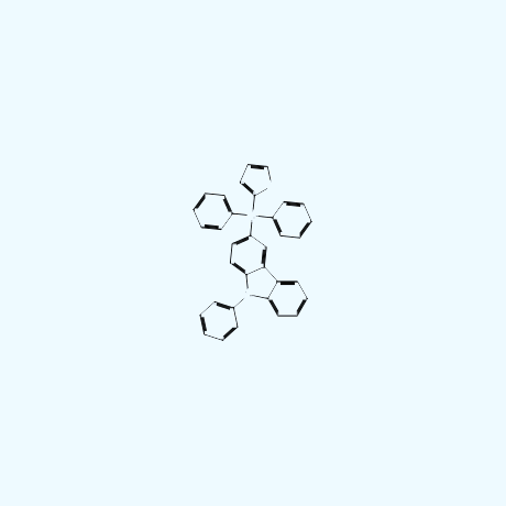 c1ccc(-n2c3ccccc3c3cc([Si](c4ccccc4)(c4ccccc4)c4cccs4)ccc32)cc1